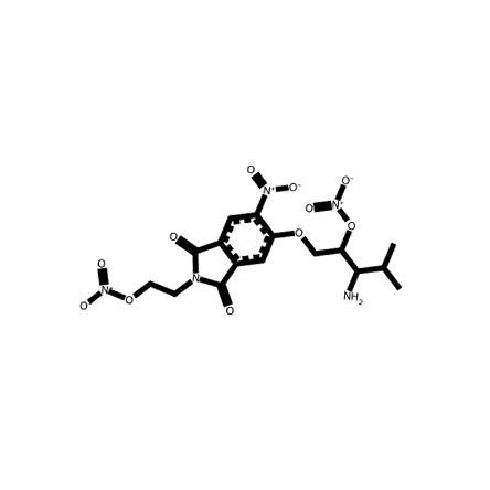 CC(C)C(N)C(COc1cc2c(cc1[N+](=O)[O-])C(=O)N(CCO[N+](=O)[O-])C2=O)O[N+](=O)[O-]